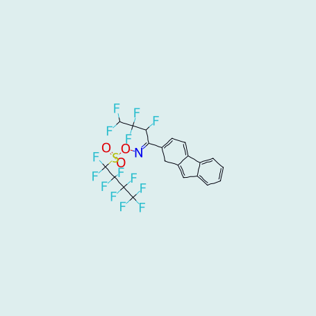 O=S(=O)(ON=C(C1=CC=C2C(=Cc3ccccc32)C1)C(F)C(F)(F)C(F)F)C(F)(F)C(F)(F)C(F)(F)C(F)(F)F